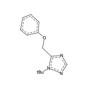 CC(C)(C)n1ncnc1COc1ccccc1